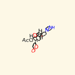 CC(=O)O[C@H]1[C@H]2O[C@]23[C@@H]2CC[C@@H]4CC(N5CCNCC5)CC[C@]4(C)[C@H]2CC[C@]3(C)[C@H]1c1ccc(=O)oc1